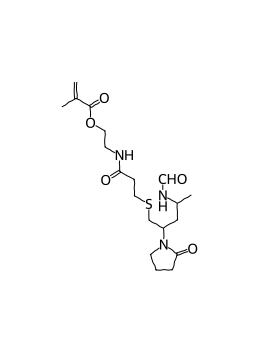 C=C(C)C(=O)OCCNC(=O)CCSCC(CC(C)NC=O)N1CCCC1=O